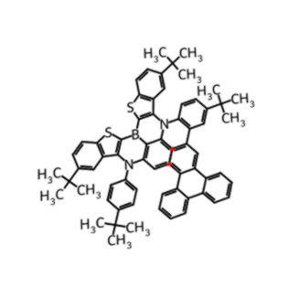 CC(C)(C)c1ccc(N2c3cccc4c3B(c3sc5ccc(C(C)(C)C)cc5c32)c2sc3ccc(C(C)(C)C)cc3c2N4c2ccc(C(C)(C)C)cc2-c2ccc3c4ccccc4c4ccccc4c3c2)cc1